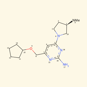 CN[C@@H]1CCN(c2cc(COC3CCCC3)nc(N)n2)C1